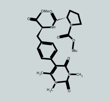 COC(=O)[C@H](Cc1ccc(-c2c(C)n(C)c(=O)n(C)c2=O)cc1)NC(=O)[C@@H]1CCCN1C(=O)OC(C)(C)C